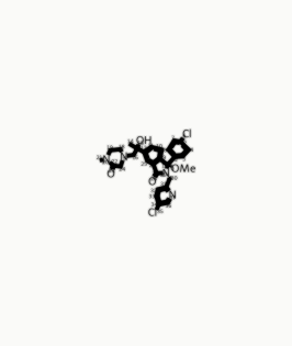 CO[C@]1(c2ccc(Cl)cc2)c2ccc(C(C)(O)CN3CCN(C)C(=O)C3)cc2C(=O)N1Cc1ccc(Cl)cn1